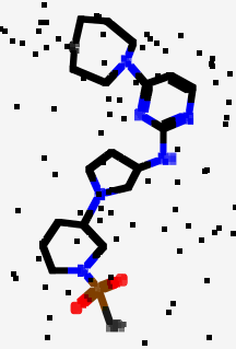 CCCS(=O)(=O)N1CCCC(N2CCC(Nc3nccc(N4CCCCCC4)n3)C2)C1